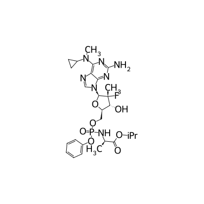 CC(C)OC(=O)[C@@H](C)NP(=O)(OC[C@H]1O[C@@H](n2cnc3c(N(C)C4CC4)nc(N)nc32)[C@](C)(F)[C@@H]1O)Oc1ccccc1